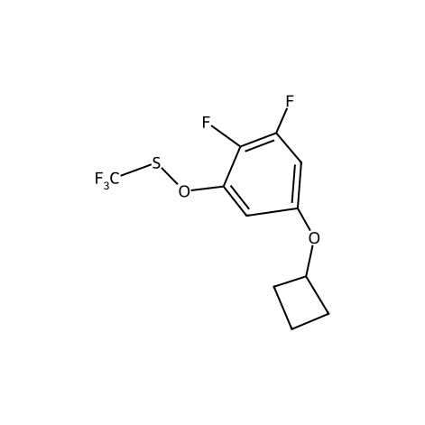 Fc1cc(OC2CCC2)cc(OSC(F)(F)F)c1F